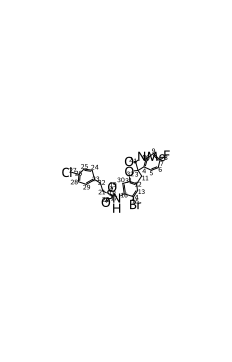 CNC(=O)C1(c2ccc(F)cc2)Cc2cc(Br)c(NS(=O)(=O)CCc3ccc(Cl)cc3)cc2O1